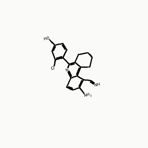 N=Cc1c(N)ccc2nc(-c3ccc(O)cc3Cl)c3c(c12)CCCC3